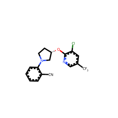 N#Cc1ccccc1N1CC[C@H](Oc2ncc(C(F)(F)F)cc2Cl)C1